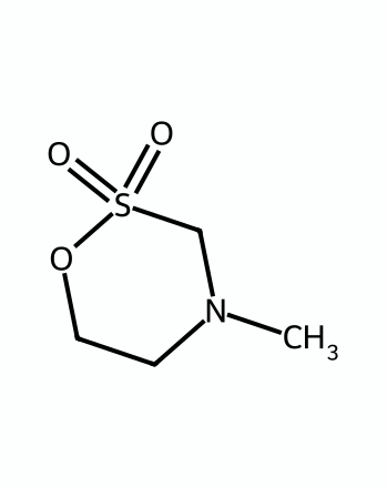 CN1CCOS(=O)(=O)C1